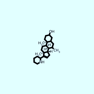 CC1CC2CC(O)CC[C@]2(C)[C@@H]2CC[C@]3(C)C(C4CCCCN4)=CC[C@H]3[C@H]12